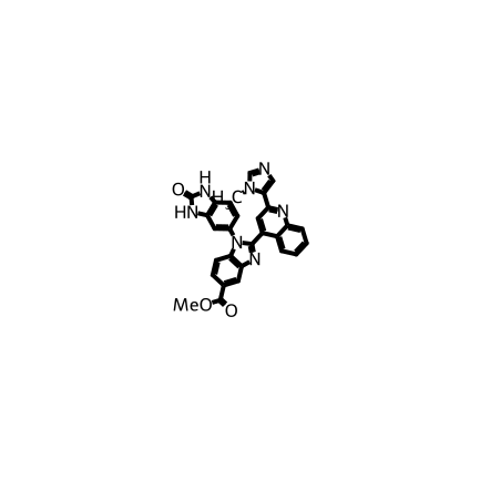 COC(=O)c1ccc2c(c1)nc(-c1cc(-c3cncn3C)nc3ccccc13)n2-c1ccc2[nH]c(=O)[nH]c2c1